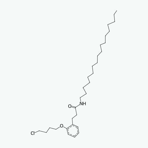 CCCCCCCCCCCCCCCCCCNC(=O)CCc1ccccc1OCCCCCl